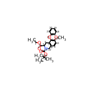 CCOC(=O)C1Cc2c(ccc(OC)c2Oc2ccccc2)CN1C(=O)OC(C)(C)C